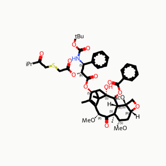 CO[C@H]1C(=O)[C@]2(C)[C@@H](OC)C[C@H]3OC[C@@]3(OC(C)=O)[C@H]2[C@H](OC(=O)c2ccccc2)[C@]2(O)C[C@H](OC(=O)[C@H](OC(=O)CSCC(=O)C(C)C)[C@@H](NC(=O)OC(C)(C)C)c3ccccc3)C(C)=C1C2(C)C